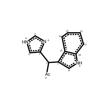 CC(=O)C(c1c[nH]cn1)c1c[nH]c2ccccc12